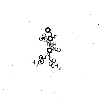 COC(=O)CCN(CCC(=O)OC)c1ccc(/N=N/c2cc(F)c(Cc3ccccc3)cc2S[N+](=O)[O-])c(NC=O)c1